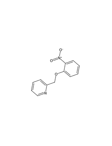 O=[N+]([O-])c1ccccc1OCc1ccccn1